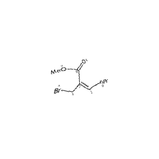 CCCC=C(CBr)C(=O)OC